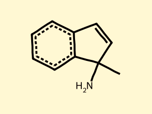 CC1(N)C=Cc2ccccc21